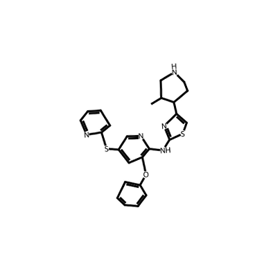 CC1CNCCC1c1csc(Nc2ncc(Sc3ccccn3)cc2Oc2ccccc2)n1